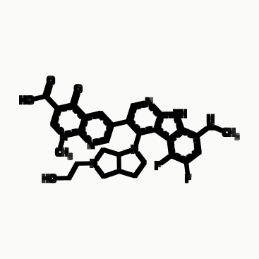 CNc1cc(F)c(F)c2c1[nH]c1ncc(-c3cnc4c(c3)c(=O)c(C(=O)O)cn4C)c(N3CCC4CN(CCO)CC43)c12